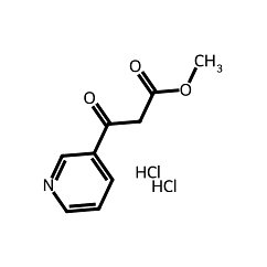 COC(=O)CC(=O)c1cccnc1.Cl.Cl